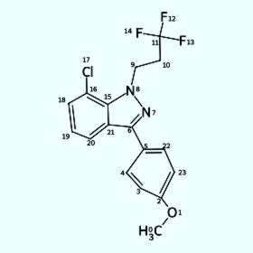 COc1ccc(-c2nn(CCC(F)(F)F)c3c(Cl)cccc23)cc1